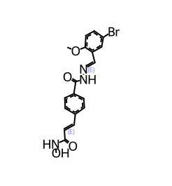 COc1ccc(Br)cc1/C=N/NC(=O)c1ccc(/C=C/C(=O)NO)cc1